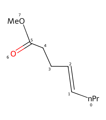 [CH2]CC/C=C/CCC(=O)OC